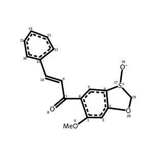 COc1cc2c(cc1C(=O)C=Cc1ccccc1)[S+]([O-])CO2